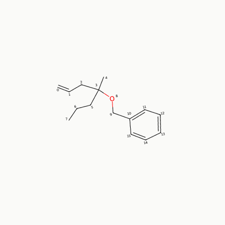 C=CCC(C)(CCC)OCc1ccccc1